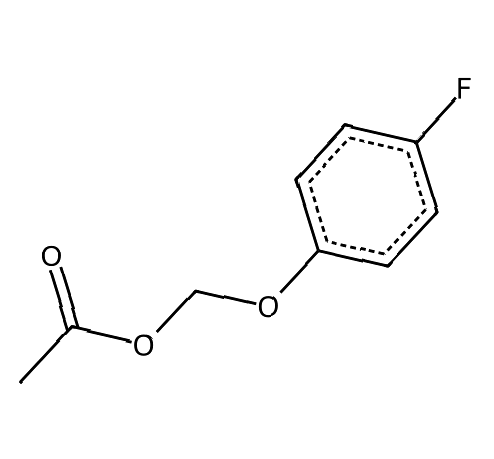 CC(=O)OCOc1ccc(F)cc1